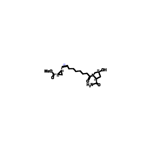 COC(=O)[C@H]1C[C@H]1/C=C\CCCCCCC(=O)N1C[C@@H](O)C[C@H]1C(N)=O